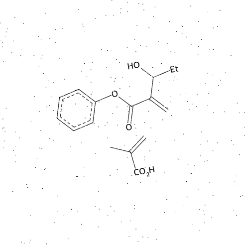 C=C(C(=O)Oc1ccccc1)C(O)CC.C=C(C)C(=O)O